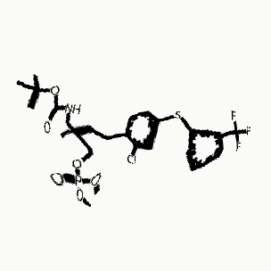 COP(=O)(OC)OC[C@@](C)(CCc1ccc(Sc2cccc(C(F)(F)F)c2)cc1Cl)NC(=O)OC(C)(C)C